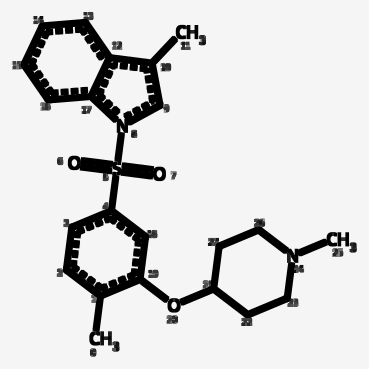 Cc1ccc(S(=O)(=O)n2cc(C)c3ccccc32)cc1OC1CCN(C)CC1